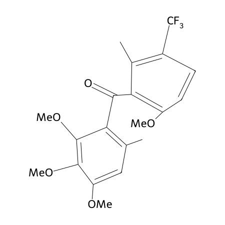 COc1cc(C)c(C(=O)c2c(OC)ccc(C(F)(F)F)c2C)c(OC)c1OC